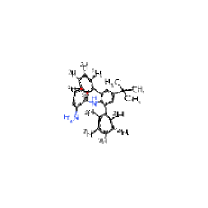 [2H]c1c([2H])c([2H])c(-c2cc(C(C)(C)C)cc(-c3c([2H])c([2H])c([2H])c([2H])c3[2H])c2Nc2ccccc2N)c([2H])c1[2H]